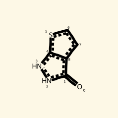 O=c1[nH][nH]c2sccc12